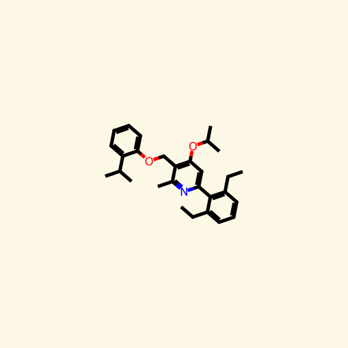 CCc1cccc(CC)c1-c1cc(OC(C)C)c(COc2ccccc2C(C)C)c(C)n1